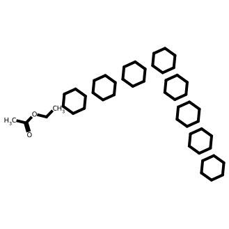 C1CCCCC1.C1CCCCC1.C1CCCCC1.C1CCCCC1.C1CCCCC1.C1CCCCC1.C1CCCCC1.C1CCCCC1.CCOC(C)=O